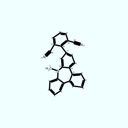 CN1c2ccccc2-c2ccccc2-c2ccc(-c3c(C#N)cccc3C#N)cc21